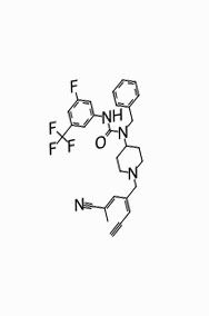 C#C/C=C(\C=C(/C)C#N)CN1CCC(N(Cc2ccccc2)C(=O)Nc2cc(F)cc(C(F)(F)F)c2)CC1